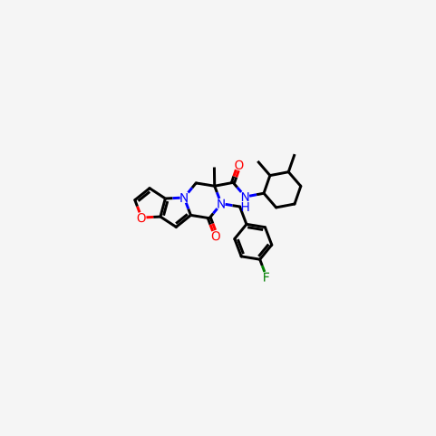 CC1CCCC(NC(=O)C2(C)Cn3c(cc4occc43)C(=O)N2Cc2ccc(F)cc2)C1C